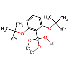 CCCC(C)(C)Oc1cccc(OC(C)(C)CCC)c1[Si](OCC)(OCC)OCC